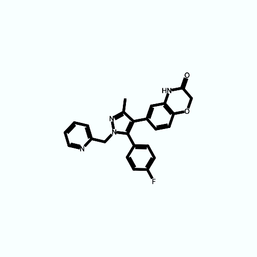 Cc1nn(Cc2ccccn2)c(-c2ccc(F)cc2)c1-c1ccc2c(c1)NC(=O)CO2